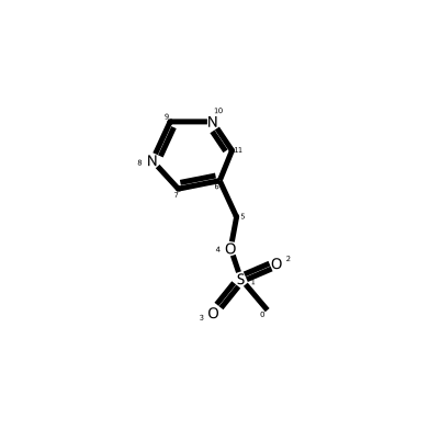 CS(=O)(=O)OCc1cncnc1